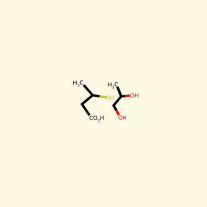 CC(O)CO.CC(S)CC(=O)O